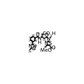 COC(=O)c1sc(N(C)C(=O)CC(CC(=O)O)NC(=O)c2cccc(-c3noc(C)n3)c2)nc1C